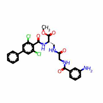 COC(=O)[C@H](CNC(=O)CNC(=O)c1cccc(N)c1)NC(=O)c1c(Cl)cc(-c2ccccc2)cc1Cl